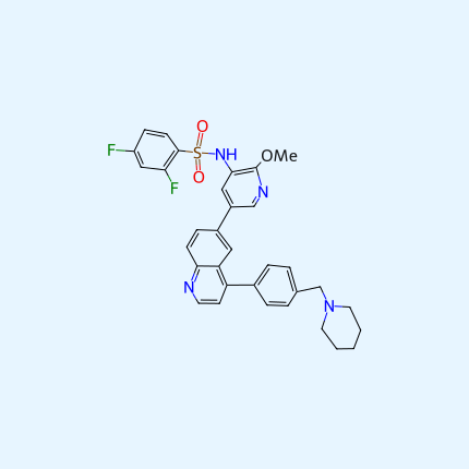 COc1ncc(-c2ccc3nccc(-c4ccc(CN5CCCCC5)cc4)c3c2)cc1NS(=O)(=O)c1ccc(F)cc1F